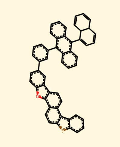 C1=CC2C=CC=C(c3c4ccccc4c(-c4cccc(-c5ccc6oc7c(ccc8c7ccc7sc9ccccc9c78)c6c5)c4)c4ccccc34)C2C=C1